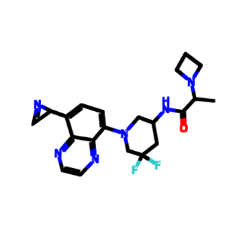 CC(C(=O)NC1CN(c2ccc(C3C=N3)c3nccnc23)CC(F)(F)C1)N1CCC1